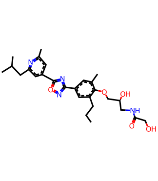 CCCc1cc(-c2noc(-c3cc(C)nc(CC(C)C)c3)n2)cc(C)c1OC[C@@H](O)CNC(=O)CO